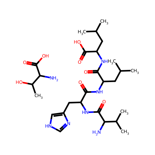 CC(C)CC(NC(=O)C(CC(C)C)NC(=O)C(Cc1c[nH]cn1)NC(=O)C(N)C(C)C)C(=O)O.CC(O)C(N)C(=O)O